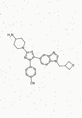 N#Cc1ccc(-c2nc(N3CCC(N)CC3)sc2-c2ccc3c(c2)ncn3CC2COC2)cc1